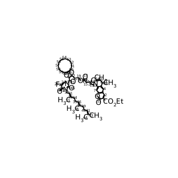 CCOC(=O)c1cc2cc3c(cc2oc1=O)N(CCCC(=O)OC[C@H]1O[C@@H](n2cc(F)c(=O)n(C/C=C(\C)CC/C=C(\C)CCC=C(C)C)c2=O)C2OC4(CCCCCCCCCCC4)OC21)C(C)(C)CC3C